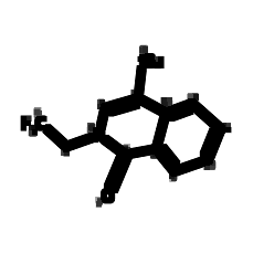 CC(C)(C)c1cn(CC(F)(F)F)c(=O)c2ccccc12